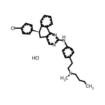 CCCCN(C)CCc1ccc(Nc2ncc3c(n2)-c2ccccc2[C@H](c2ccc(Cl)cc2)C3)cc1.Cl